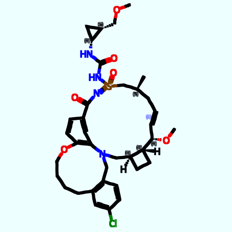 COC[C@H]1C[C@H]1NC(=O)NS1(=O)=NC(=O)c2ccc3c(c2)N(Cc2ccc(Cl)cc2CCCCO3)C[C@@H]2CC[C@H]2[C@@H](OC)/C=C/C[C@H](C)C1